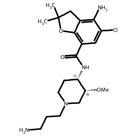 CO[C@@H]1CN(CCCN)CC[C@@H]1NC(=O)c1cc(Cl)c(N)c2c1OC(C)(C)C2